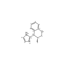 C[C@@H]1COc2ccccc2C1c1ncc[nH]1